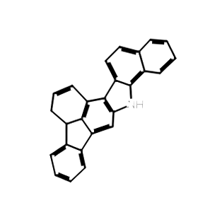 C1=Cc2c3c(cc4[nH]c5c6ccccc6ccc5c24)-c2ccccc2C3C1